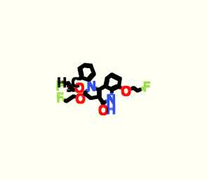 Cc1ccccc1N1c2c(c(=O)[nH]c3c(OCCF)cccc23)CC1(OCCF)OCCF